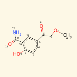 COCC(=O)c1ccc(O)c(C(N)=O)c1